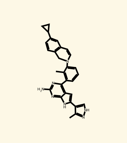 Cc1n[nH]cc1-c1cc2c(-c3cccc(N4C=Cc5cc(C6CC6)ccc5C4)c3C)nc(N)nc2[nH]1